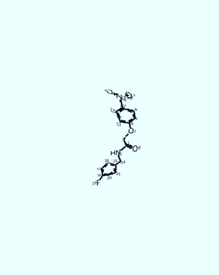 O=C(COc1ccc([N+](=O)[O-])cc1)NCc1ccc(F)cc1